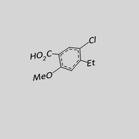 CCc1cc(OC)c(C(=O)O)cc1Cl